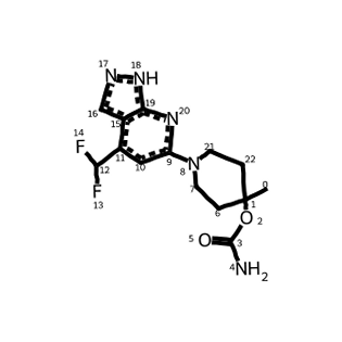 CC1(OC(N)=O)CCN(c2cc(C(F)F)c3cn[nH]c3n2)CC1